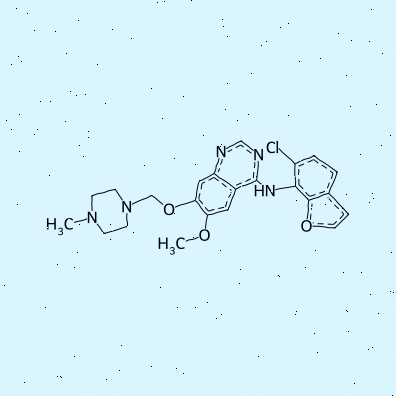 COc1cc2c(Nc3c(Cl)ccc4ccoc34)ncnc2cc1OCN1CCN(C)CC1